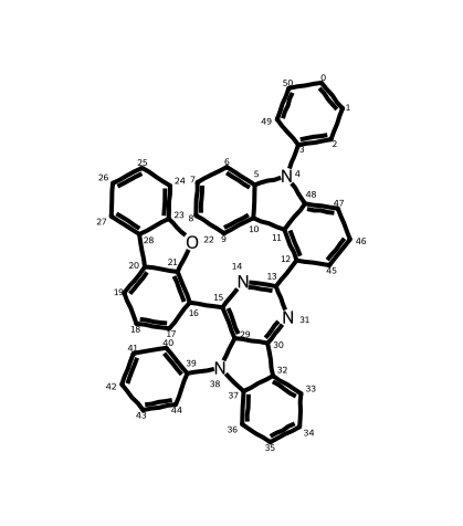 c1ccc(-n2c3ccccc3c3c(-c4nc(-c5cccc6c5oc5ccccc56)c5c(n4)c4ccccc4n5-c4ccccc4)cccc32)cc1